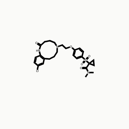 CN(C)C(=O)C1(S(=O)(=O)c2ccc(OCCN3CCCC(=O)Nc4ccc(Cl)cc4CCC3)cc2)CC1